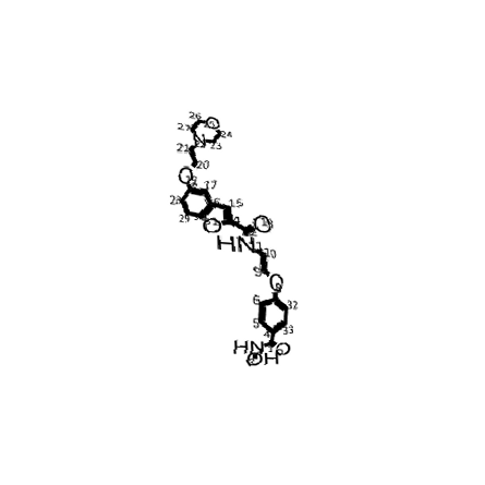 O=C(NO)c1ccc(OCCNC(=O)c2cc3cc(OCCN4CCOCC4)ccc3o2)cc1